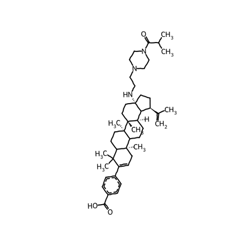 C=C(C)[C@@H]1CC[C@]2(NCCN3CCN(C(=O)C(C)C)CC3)CC[C@]3(C)[C@H](CCC4[C@@]5(C)CC=C(c6ccc(C(=O)O)cc6)C(C)(C)C5CC[C@]43C)C12